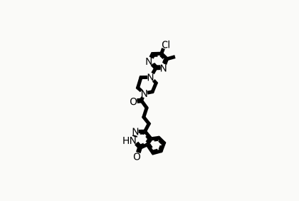 Cc1nc(N2CCN(C(=O)CCCc3n[nH]c(=O)c4ccccc34)CC2)ncc1Cl